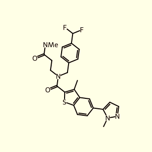 CNC(=O)CCN(Cc1ccc(C(F)F)cc1)C(=O)c1sc2ccc(-c3ccnn3C)cc2c1C